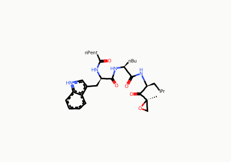 CCCCCC(=O)N[C@H](Cc1c[nH]c2ccccc12)C(=O)N[C@@H](CCCC)C(=O)N[C@@H](CC(C)C)C(=O)[C@@]1(C)CO1